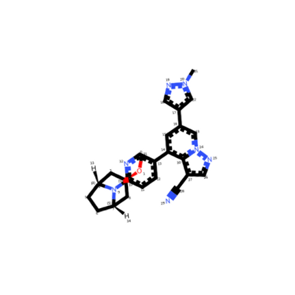 CO[C@@H]1C[C@H]2CC[C@@H](C1)N2c1ccc(-c2cc(-c3cnn(C)c3)cn3ncc(C#N)c23)cn1